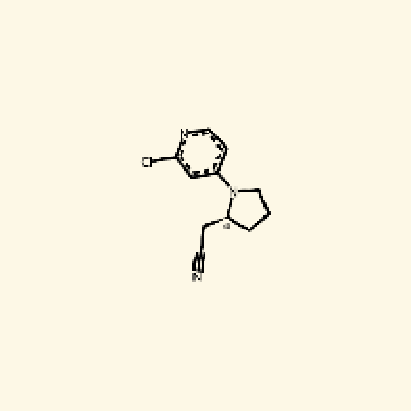 N#CC[C@@H]1CCCN1c1ccnc(Cl)c1